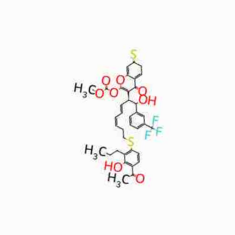 CCCc1c(SCC/C=C\C=C\[C@@H](c2c(OC(=O)OC)oc3c(c2=O)=CCC(=S)C=3)[C@@H](O)c2cccc(C(F)(F)F)c2)ccc(C(C)=O)c1O